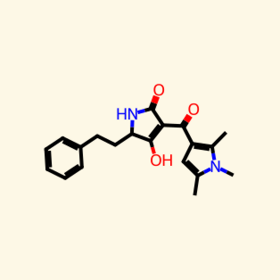 Cc1cc(C(=O)C2=C(O)C(CCc3ccccc3)NC2=O)c(C)n1C